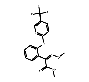 CNC(=O)/C(=N\OC)c1ccccc1Oc1ccc(C(F)(F)F)cn1